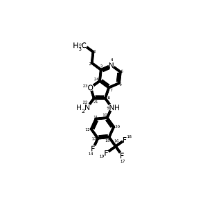 CCCc1nccc2c(Nc3ccc(F)c(C(F)(F)F)c3)c(N)oc12